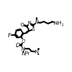 CCCN(CCN(C)C)C(=O)Oc1cc(F)ccc1/C=C1/SC(N(C)CCCCN)=NC1=O